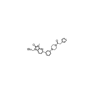 Cn1c(=O)n(CC(C)(C)C)c2ccc(-c3cccc(N4CCN(C(=O)Cc5ccsc5)CC4)c3)nc21